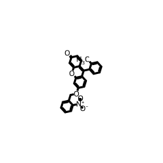 Cc1ccccc1-c1c2ccc(=O)cc-2oc2cc(OCc3ccccc3[N+](=O)[O-])ccc12